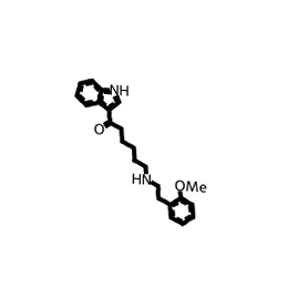 COc1ccccc1CCNCCCCCC(=O)c1c[nH]c2ccccc12